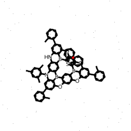 Cc1cc(C)c(N2c3cc4c(cc3B3c5cc6c(cc5Oc5cc(-c7ccccc7C)cc2c53)Oc2cc(-c3ccccc3C)cc3c2B6c2sc5ccccc5c2O3)B2c3sc5ccccc5c3Oc3cc(-c5ccccc5C)cc(c32)N4)c(C)c1